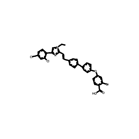 CCn1cc(-c2ccc(Cl)cc2Cl)nc1C=Cc1ccc(-c2ccc(Oc3ccc(C(=O)O)c(Br)c3)cc2)cc1